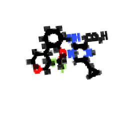 O=C(O)c1nc(C2CC2)cnc1Nc1cccc(C2CCOCC2)c1OC(F)F